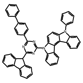 c1ccc(-c2ccc(-c3nc(C4c5ccccc5-c5ccccc54)nc(-n4c5ccccc5c5c6c7ccccc7n(-c7ccccc7)c6ccc54)n3)cc2)cc1